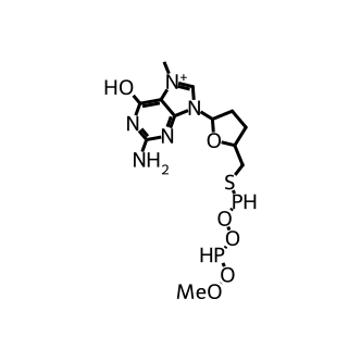 COOPOOPSCC1CCC(n2c[n+](C)c3c(O)nc(N)nc32)O1